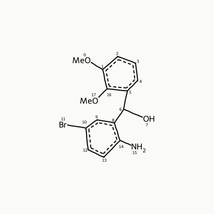 COc1cccc(C(O)c2cc(Br)ccc2N)c1OC